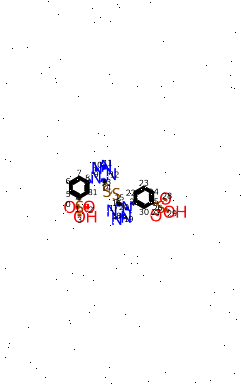 O=S(=O)(O)c1cccc(-n2nnnc2SSc2nnnn2-c2cccc(S(=O)(=O)O)c2)c1